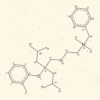 Cc1ccccc1OC(COCC[N+](C)(C)Cc1ccccc1)(CC(C)C)CC(C)C